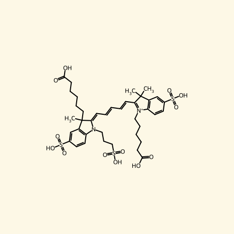 CC1(C)C(/C=C/C=C/C=C2\N(CCCS(=O)(=O)O)c3ccc(S(=O)(=O)O)cc3C2(C)CCCCCC(=O)O)=[N+](CCCCCC(=O)O)c2ccc(S(=O)(=O)O)cc21